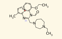 CCOc1ccccc1N(C=O)/C(CN1CCCN(CC)CC1)=N\c1sccc1C